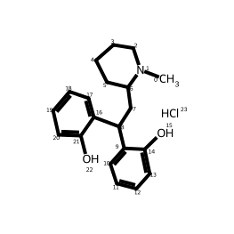 CN1CCCCC1CC(c1ccccc1O)c1ccccc1O.Cl